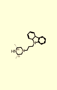 C[C@@H]1CN(CCCN2c3ccccc3C3C=CC=CC32)C[C@H](C)N1